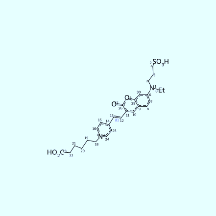 CCN(CCCS(=O)(=O)O)c1ccc2cc(/C=C/c3cc[n+](CCCCCC(=O)O)cc3)c(=O)oc2c1